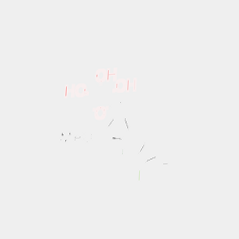 CCc1sc(Cc2cc([C@]3(C)O[C@H](C)[C@@H](O)[C@H](O)[C@H]3O)c(COC)cc2Cl)cc1F